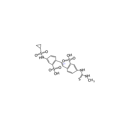 CNC(=S)Nc1ccc(/C=C/c2ccc(NS(=O)(=O)C3CC3)cc2S(=O)(=O)O)c(S(=O)(=O)O)c1